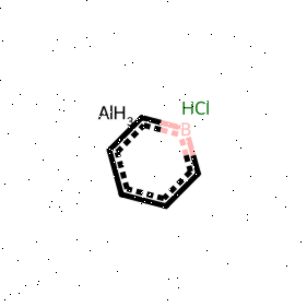 Cl.[AlH3].b1ccccc1